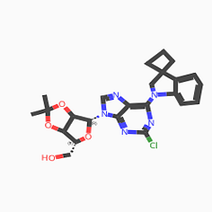 CC1(C)OC2C(O1)[C@@H](CO)O[C@H]2n1cnc2c(N3CC4(CCC4)c4ccccc43)nc(Cl)nc21